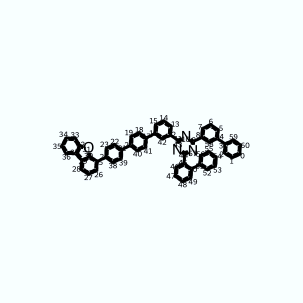 c1ccc(-c2cccc(-c3nc(-c4cccc(-c5ccc(-c6ccc(-c7cccc8c7oc7ccccc78)cc6)cc5)c4)nc(-c4ccccc4-c4ccccc4)n3)c2)cc1